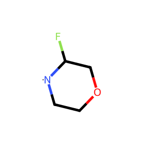 FC1COCC[N]1